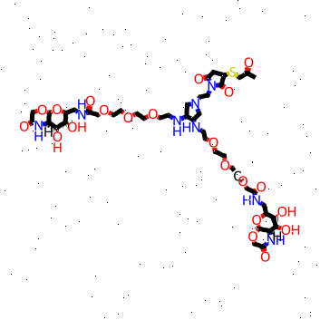 CC(=O)CSC1CC(=O)N(CCN2CC(NCCOCCOCCOCC(=O)NCC3OC4OCC(=O)N[C@@H]4C(O)[C@H]3O)C(NCCOCCOCCOCC(=O)NCC3OC4OCC(=O)N[C@@H]4[C@@H](O)[C@H]3O)C2)C1=O